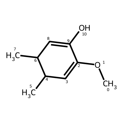 COC1=CC(C)C(C)C=C1O